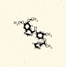 COc1cc2ncnc(Nc3ccc(OC(C)c4ncc[nH]4)c(C)c3)c2cc1OC